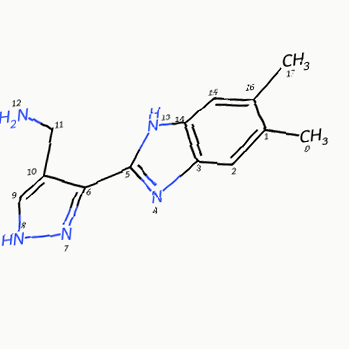 Cc1cc2nc(-c3n[nH]cc3CN)[nH]c2cc1C